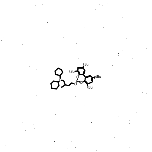 CC(CCOp1oc2c(C(C)(C)C)cc(C(C)(C)C)cc2c2cc(C(C)(C)C)cc(C(C)(C)C)c2o1)CP(C1CCCCC1)C1CCCCC1